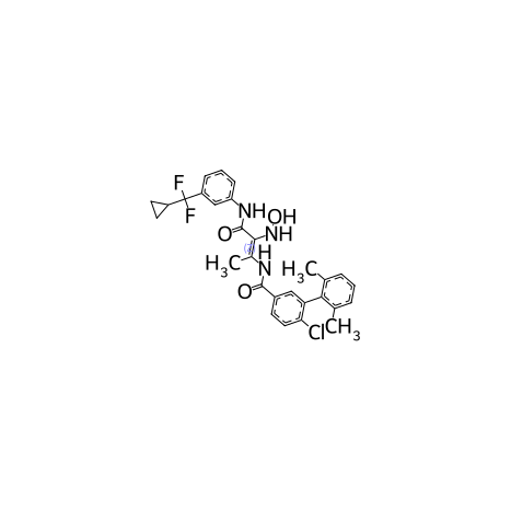 C/C(NC(=O)c1ccc(Cl)c(-c2c(C)cccc2C)c1)=C(/NO)C(=O)Nc1cccc(C(F)(F)C2CC2)c1